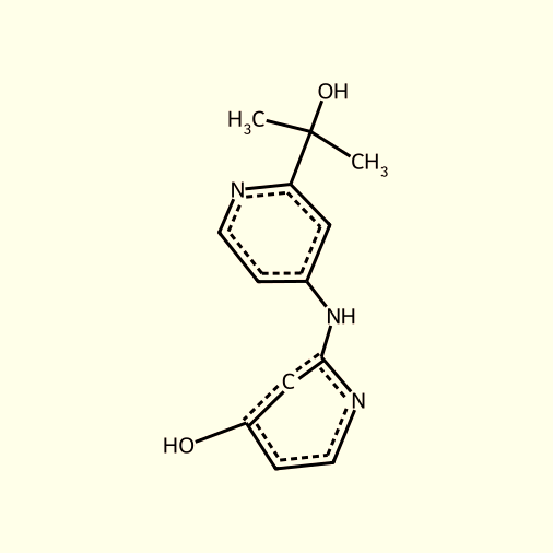 CC(C)(O)c1cc(Nc2cc(O)ccn2)ccn1